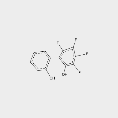 Oc1ccccc1-c1c(O)c(F)c(F)c(F)c1F